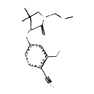 CSCN1CC(C)(C)C(Oc2ccc(C#N)c(CF)c2)C1=O